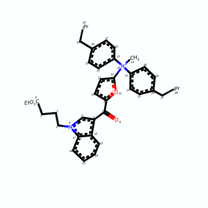 CCOC(=O)CCCn1cc(C(=O)c2ccc([N+](C)(c3ccc(CC(C)C)cc3)c3ccc(CC(C)C)cc3)o2)c2ccccc21